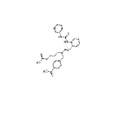 O=C(O)CCCCC(/C=C/c1ccccc1NC(=O)Nc1ccccc1)Cc1ccc(C(=O)O)cc1